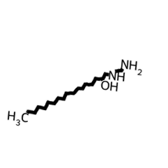 CCCCCCCCCCCCCCCCC(O)CNCCN